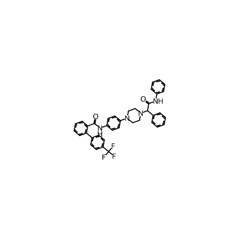 O=C(Nc1ccc(N2CCN(C(C(=O)Nc3ccccc3)c3ccccc3)CC2)cc1)c1ccccc1-c1ccc(C(F)(F)F)cc1